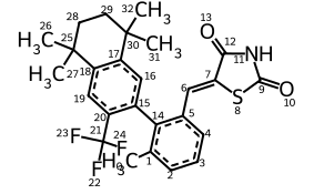 Cc1cccc(C=C2SC(=O)NC2=O)c1-c1cc2c(cc1C(F)(F)F)C(C)(C)CCC2(C)C